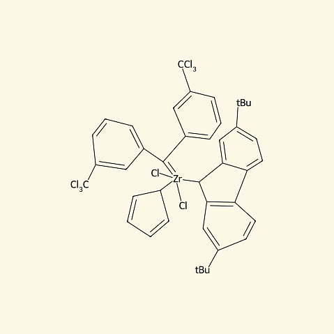 CC(C)(C)c1ccc2c(c1)[CH]([Zr]([Cl])([Cl])(=[C](c1cccc(C(Cl)(Cl)Cl)c1)c1cccc(C(Cl)(Cl)Cl)c1)[CH]1C=CC=C1)c1cc(C(C)(C)C)ccc1-2